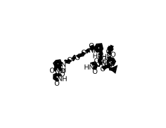 CC(C)(C)OC(=O)Nc1cccn([C@@H](CC2CC2)C(=O)N[C@@H](C[C@@H]2CCNC2=O)C(=O)C(=O)NCc2cccc(C(=O)NCCOCCOCCOCCNc3cccc4c3C(=O)N(C3CCC(=O)NC3=O)C4=O)c2)c1=O